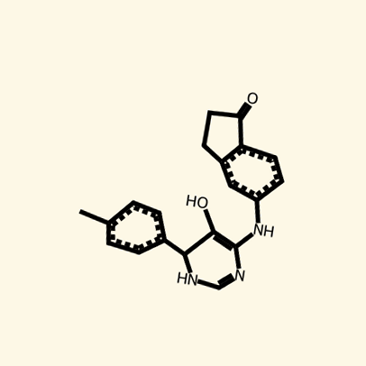 Cc1ccc(C2NC=NC(Nc3ccc4c(c3)CCC4=O)=C2O)cc1